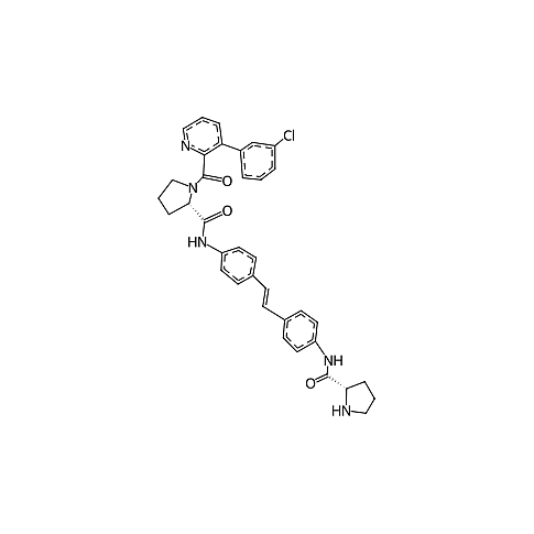 O=C(Nc1ccc(/C=C/c2ccc(NC(=O)[C@@H]3CCCN3C(=O)c3ncccc3-c3cccc(Cl)c3)cc2)cc1)[C@@H]1CCCN1